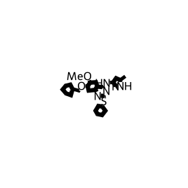 COc1cc2c(Nc3cc(C)[nH]n3)nc(Sc3ccccc3)nc2cc1OCc1ccccc1